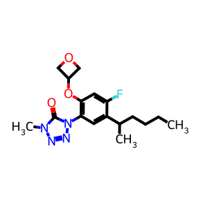 CCCCC(C)c1cc(-n2nnn(C)c2=O)c(OC2COC2)cc1F